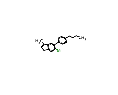 CCCCc1ccc(-c2cc3c(cc2Br)CC=C3C)cc1